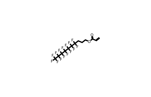 C=CC(=O)OCCCC(F)(F)C(F)(F)C(F)(F)C(F)(F)C(F)(F)C(F)(F)C(F)(F)F